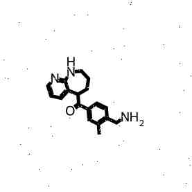 Cc1cc(C(=O)C2CCCNc3ncccc32)ccc1CN